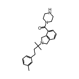 Cc1cccc(CCC(C)(C)N2Cc3cccc(C(=O)N4CCNCC4)c3C2)c1